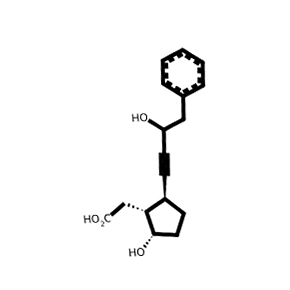 O=C(O)C[C@H]1[C@@H](O)CC[C@@H]1C#CC(O)Cc1ccccc1